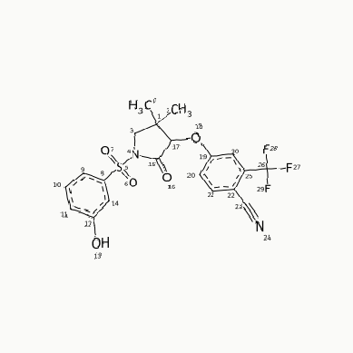 CC1(C)CN(S(=O)(=O)c2cccc(O)c2)C(=O)C1Oc1ccc(C#N)c(C(F)(F)F)c1